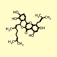 CC(C)=CCCC(C)=CC1Oc2c(oc3c(CC=C(C)C)c(O)cc(O)c3c2=O)-c2ccc(O)c(O)c21